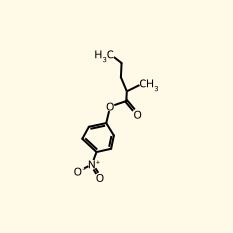 CCCC(C)C(=O)Oc1ccc([N+](=O)[O-])cc1